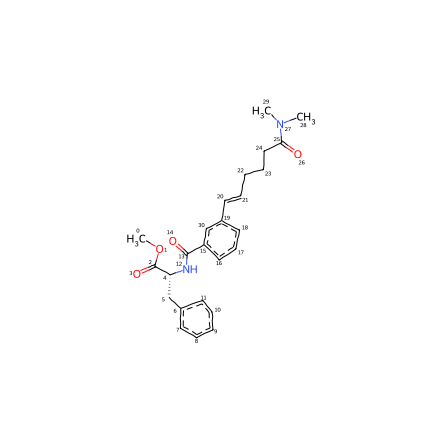 COC(=O)[C@@H](Cc1ccccc1)NC(=O)c1cccc(C=CCCCC(=O)N(C)C)c1